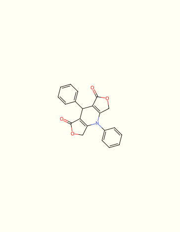 O=C1OCC2=C1C(c1ccccc1)C1=C(COC1=O)N2c1ccccc1